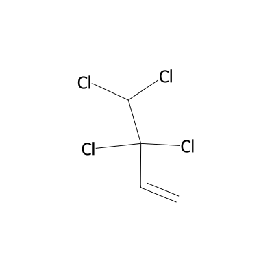 C=CC(Cl)(Cl)C(Cl)Cl